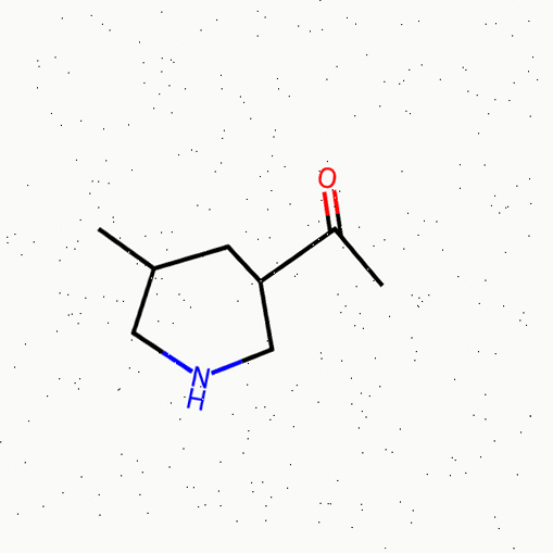 CC(=O)C1CNCC(C)C1